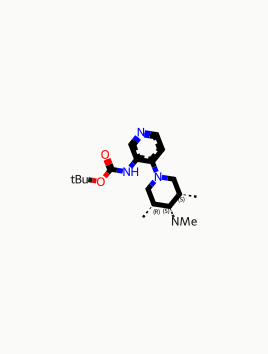 CN[C@@H]1[C@H](C)CN(c2ccncc2NC(=O)OC(C)(C)C)C[C@@H]1C